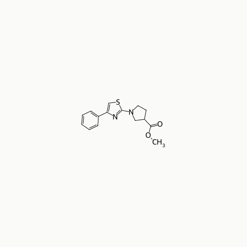 COC(=O)C1CCN(c2nc(-c3ccccc3)cs2)C1